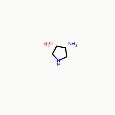 C1CCNC1.N.O